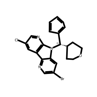 Clc1cnc2c(c1)c1ncc(Br)cc1n2[C@H](c1ccccc1)C1CCOCC1